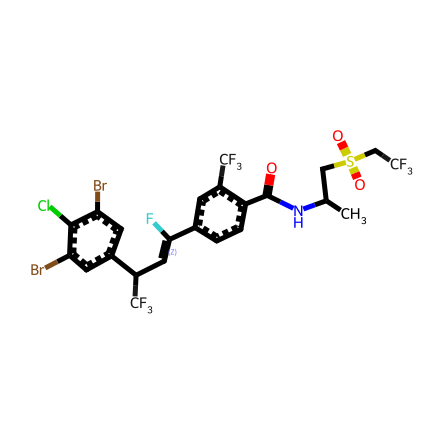 CC(CS(=O)(=O)CC(F)(F)F)NC(=O)c1ccc(/C(F)=C/C(c2cc(Br)c(Cl)c(Br)c2)C(F)(F)F)cc1C(F)(F)F